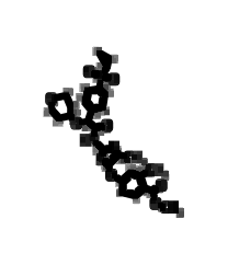 COC(=O)c1ccc(Oc2sc(NC(=O)C(OC3CCOCC3)c3ccc(S(=O)(=O)C4CC4)cc3)nc2C)cc1C